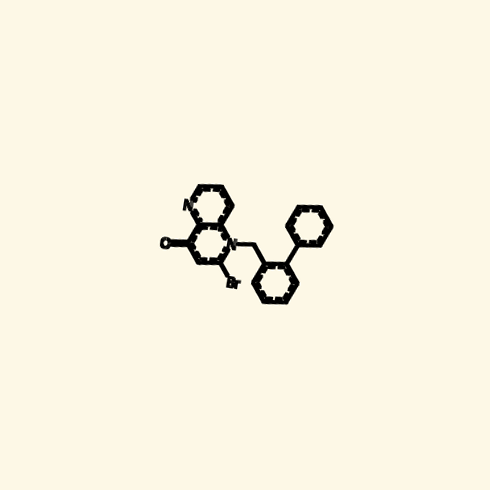 O=c1cc(Br)n(Cc2ccccc2-c2ccccc2)c2cccnc12